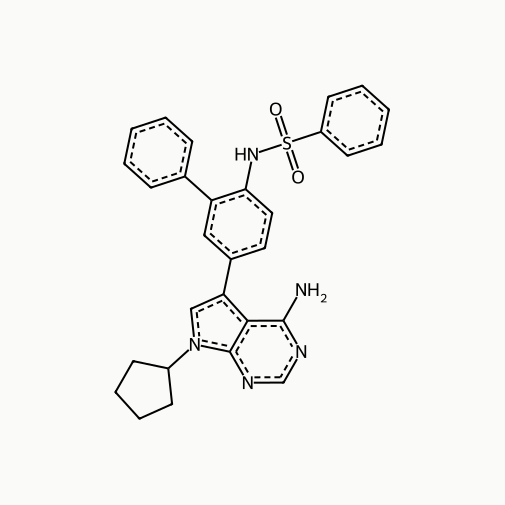 Nc1ncnc2c1c(-c1ccc(NS(=O)(=O)c3ccccc3)c(-c3ccccc3)c1)cn2C1CCCC1